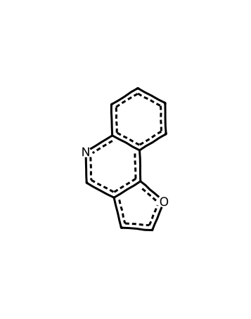 c1ccc2c(c1)ncc1ccoc12